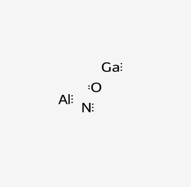 [Al].[Ga].[N].[O]